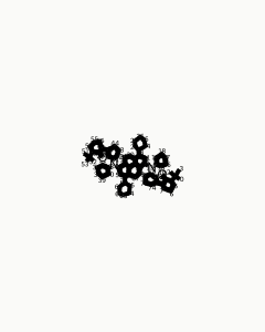 CC(C)(C)c1cccc2c1oc1c(N(c3ccccc3)c3cc(C4CCCCC4)c4ccc5c(N(c6ccccc6)c6cccc7c6oc6c(C(C)(C)C)cccc67)cc(C6CCCCC6)c6ccc3c4c65)cccc12